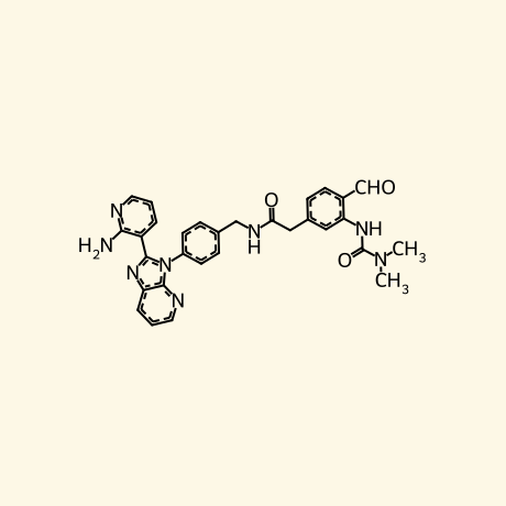 CN(C)C(=O)Nc1cc(CC(=O)NCc2ccc(-n3c(-c4cccnc4N)nc4cccnc43)cc2)ccc1C=O